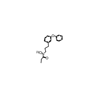 CCC(=O)N(O)CCCc1cccc(Oc2ccccc2)c1